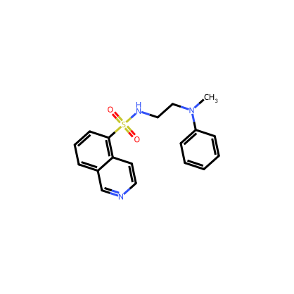 CN(CCNS(=O)(=O)c1cccc2cnccc12)c1ccccc1